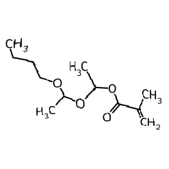 C=C(C)C(=O)OC(C)OC(C)OCCCC